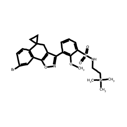 COc1c(-c2noc3c2CC2(CC2)c2ccc(Br)cc2-3)cccc1S(=O)(=O)NCC[Si](C)(C)C